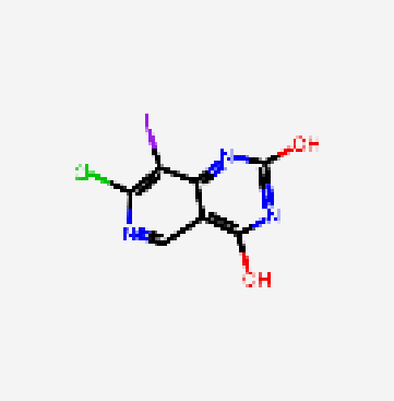 Oc1nc(O)c2cnc(Cl)c(I)c2n1